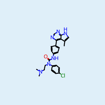 Cc1c[nH]c2ncnc(-c3ccc(NC(=O)N(CCN(C)C)c4ccc(Cl)cc4)cc3)c12